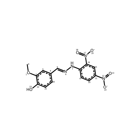 COc1cc(C=NNc2ccc([N+](=O)[O-])cc2[N+](=O)[O-])ccc1O